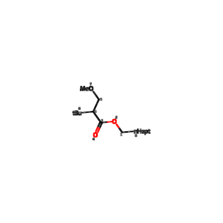 CCCCCCCCOC(=O)C(COC)C(C)(C)C